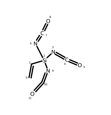 C=C[Si](N=C=O)(N=C=O)N=C=O